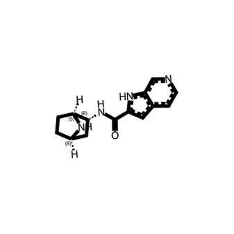 O=C(N[C@@H]1C[C@H]2CC[C@@H]1N2)c1cc2ccncc2[nH]1